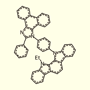 CCn1c2ccccc2c2ccc3c4ccccc4n(-c4ccc(-n5c(-c6ccccc6)nc6c7ccccc7c7ccccc7c65)cc4)c3c21